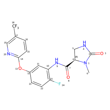 CN1C(=O)NC[C@@H]1C(=O)Nc1cc(Oc2ccc(C(F)(F)F)cn2)ccc1F